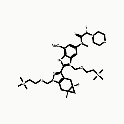 COc1cc(N(C)C(=O)[C@H](C)N2CCOCC2)cc2c1[nH]c(-c1nn(COCC[Si](C)(C)C)c3c1C[C@@H]1C[C@]1(C)C3)[n+]2COCC[Si](C)(C)C